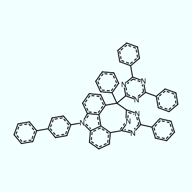 c1ccc(-c2ccc(-n3c4cccc5c4c4c(cccc43)C(c3ccccc3)(c3nc(-c4ccccc4)nc(-c4ccccc4)n3)c3nc(-c4ccccc4)nc-5n3)cc2)cc1